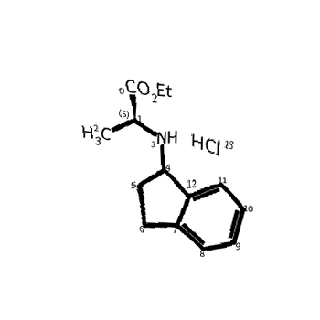 CCOC(=O)[C@H](C)NC1CCc2ccccc21.Cl